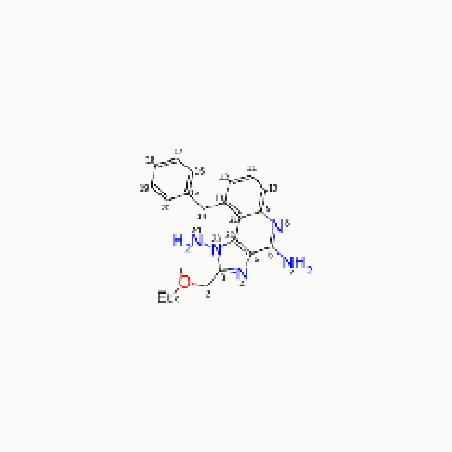 CCOCc1nc2c(N)nc3cccc(Cc4ccccc4)c3c2n1N